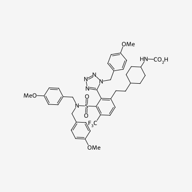 COc1ccc(CN(Cc2ccc(OC)cc2)S(=O)(=O)c2c(C(F)(F)F)ccc(CCC3CCC(NC(=O)O)CC3)c2-c2nnnn2Cc2ccc(OC)cc2)cc1